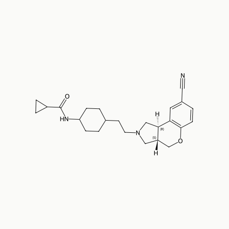 N#Cc1ccc2c(c1)[C@@H]1CN(CCC3CCC(NC(=O)C4CC4)CC3)C[C@H]1CO2